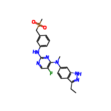 CCc1n[nH]c2cc(N(C)c3nc(Nc4cccc(CS(C)(=O)=O)c4)ncc3F)ccc12